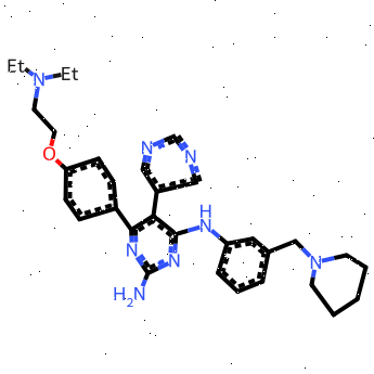 CCN(CC)CCOc1ccc(-c2nc(N)nc(Nc3cccc(CN4CCCCC4)c3)c2-c2cncnc2)cc1